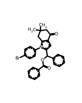 CC1(C)CC(=O)c2cc(C(OC(=O)c3ccccc3)c3ccccc3)n(-c3ccc(Br)cc3)c2C1